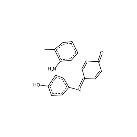 Cc1ccccc1N.O=C1C=CC(=Nc2ccc(O)cc2)C=C1